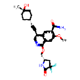 CC(C)Oc1cc2c(OC[C@@H]3CC(F)(F)C(=O)N3)ncc(C#C[C@H]3CC[C@@](C)(O)CC3)c2cc1C(N)=O